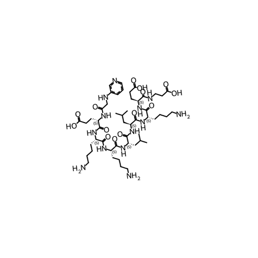 CC(C)C[C@H](NC(=O)[C@H](CC(C)C)NC(=O)[C@H](CCCCN)NC(=O)[C@H](CCCCN)NC(=O)[C@H](CCC(=O)O)NC(=O)CNc1cccnc1)C(=O)N[C@@H](CCCCN)C(=O)N[C@@H](CCC(=O)O)C(=O)NCCC(=O)O